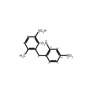 Cc1ccc(S(=O)(=O)O)cc1Cc1ccc([N+](=O)[O-])cc1[N+](=O)[O-]